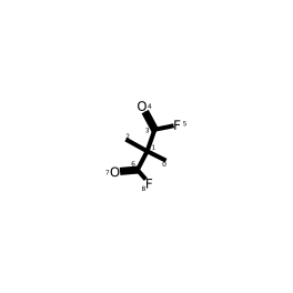 CC(C)(C(=O)F)C(=O)F